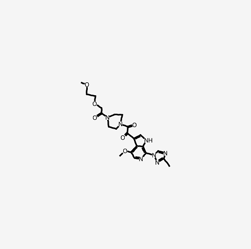 COCCOCC(=O)N1CCN(C(=O)C(=O)c2c[nH]c3c(-n4cnc(C)n4)ncc(OC)c23)CC1